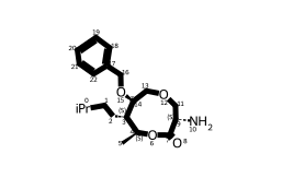 CC(C)CC[C@H]1[C@H](C)OC(=O)[C@@H](N)COC[C@@H]1OCc1ccccc1